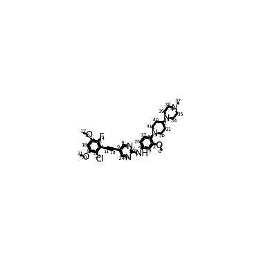 COc1cc(Nc2ncc(C#Cc3c(F)c(OC)cc(OC)c3Cl)cn2)ccc1N1CCC(N2CCN(C)CC2)CC1